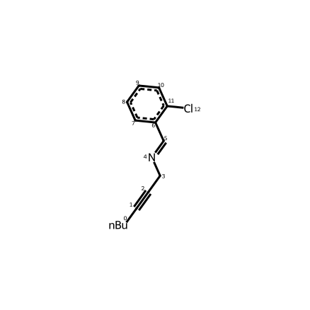 CCCCC#CCN=Cc1ccccc1Cl